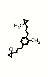 Cc1cc(CCCC2(C)CC2)ccc1CCCC1(C)CC1